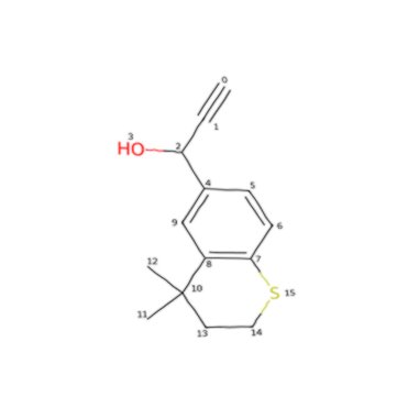 C#CC(O)c1ccc2c(c1)C(C)(C)CCS2